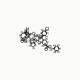 COC(=O)N[C@@H](C(=O)N[C@H]1CCC[C@@H]1CC[C@H]1CN[C@@H]2CCCS(=O)(=O)N1C2)[C@@H](c1ccc(Cl)cc1)C1CCN(C(=O)OCc2ccccc2)CC1